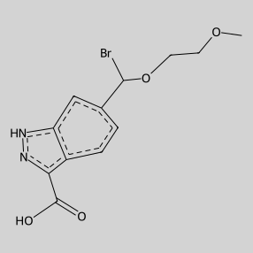 COCCOC(Br)c1ccc2c(C(=O)O)n[nH]c2c1